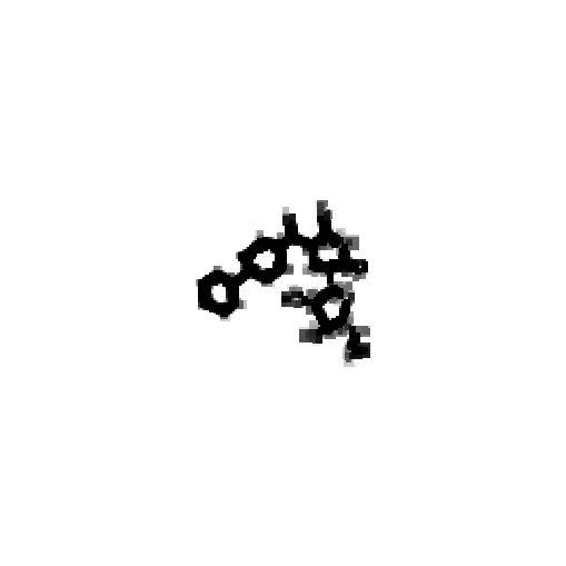 O=C(c1ccc(-c2ccccc2)cc1)c1cn([C@@H]2O[C@H](CO)[C@@H](O)[C@H]2O)c(=O)[nH]c1=O